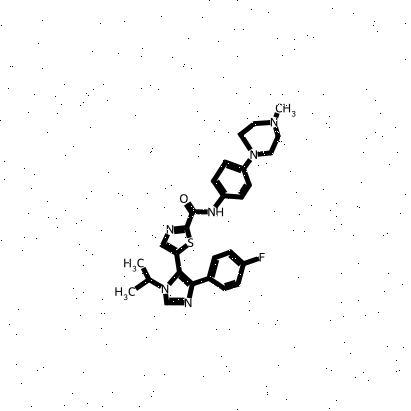 CC(C)n1cnc(-c2ccc(F)cc2)c1-c1cnc(C(=O)Nc2ccc(N3CCN(C)CC3)cc2)s1